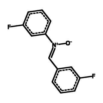 [O-][N+](=Cc1cccc(F)c1)c1cccc(F)c1